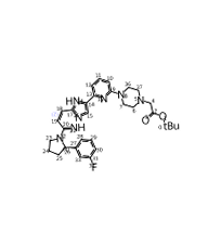 CC(C)(C)OC(=O)CN1CCN(c2cccc(-c3cnc(/C=C\C(=N)N4CCC[C@@H]4c4cccc(F)c4)[nH]3)n2)CC1